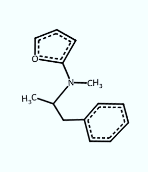 CC(Cc1ccccc1)N(C)c1ccco1